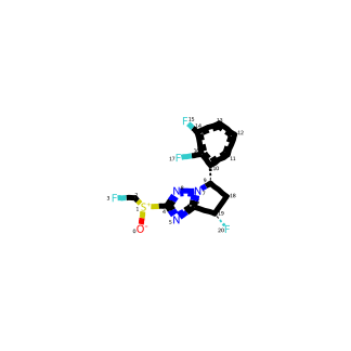 [O-][S+](CF)c1nc2n(n1)[C@H](c1cccc(F)c1F)C[C@@H]2F